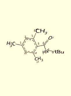 Cc1cc(C)c(C(=O)NC(C)(C)C)c(C)c1